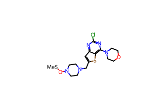 CSON1CCN(Cc2cc3nc(Cl)nc(N4CCOCC4)c3s2)CC1